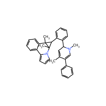 CC1=CC(c2ccccc2C2C3(C)c4ccccc4-c4cccn4C23C)N(C)C=C1c1ccccc1